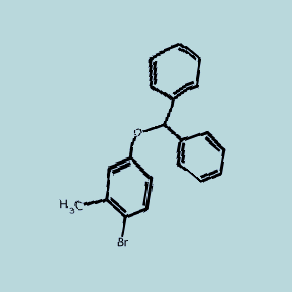 Cc1cc(OC(c2ccccc2)c2ccccc2)ccc1Br